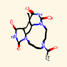 CCC(=O)N1CCN2C(=O)NC(=O)C3(C)C2C2N(CC1)C(=O)NC(=O)C23C